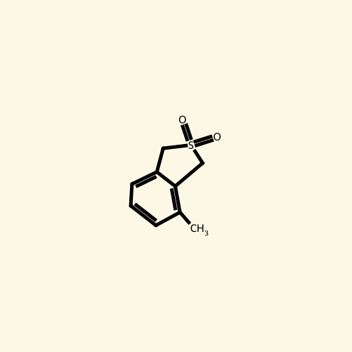 Cc1cccc2c1CS(=O)(=O)C2